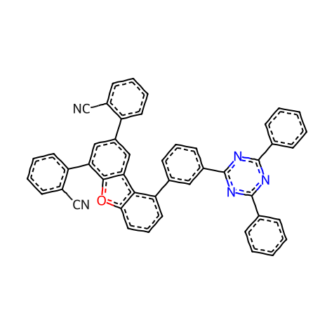 N#Cc1ccccc1-c1cc(-c2ccccc2C#N)c2oc3cccc(-c4cccc(-c5nc(-c6ccccc6)nc(-c6ccccc6)n5)c4)c3c2c1